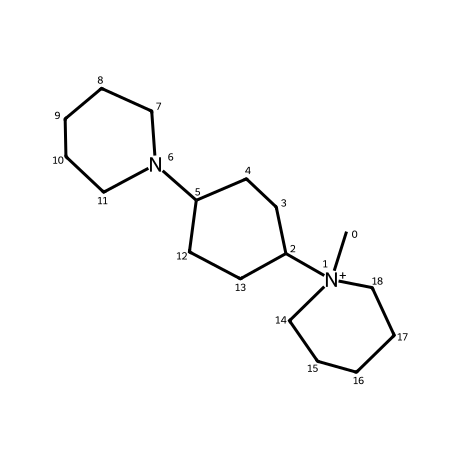 C[N+]1(C2CCC(N3CCCCC3)CC2)CCCCC1